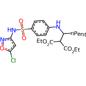 CCCCCC(Nc1ccc(S(=O)(=O)Nc2cc(Cl)on2)cc1)C(C(=O)OCC)C(=O)OCC